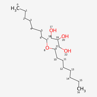 CCCCCCCCOCCCCCCCC.OCC(O)CO